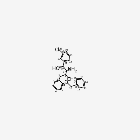 CC(Cc1ccccc1OCc1ccccc1)C(N)C(O)c1cccc(Cl)c1